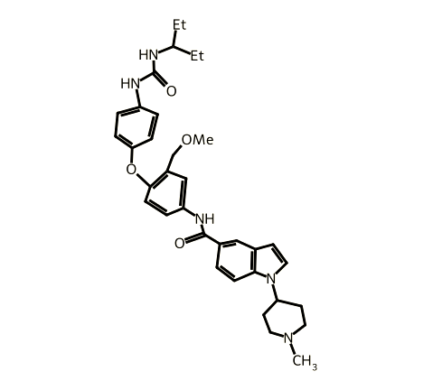 CCC(CC)NC(=O)Nc1ccc(Oc2ccc(NC(=O)c3ccc4c(ccn4C4CCN(C)CC4)c3)cc2COC)cc1